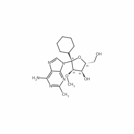 CO[C@@H]1[C@H](O)[C@@H](CO)O[C@@]1(C1CCCCC1)n1cnc2c(N)nc(C)nc21